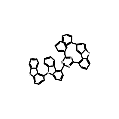 c1ccc(-c2ccc3oc4cccc(-c5nc(-c6ccccc6)nc(-c6cccc7c6c6ccccc6n7-c6cccc7oc8ccccc8c67)n5)c4c3c2)cc1